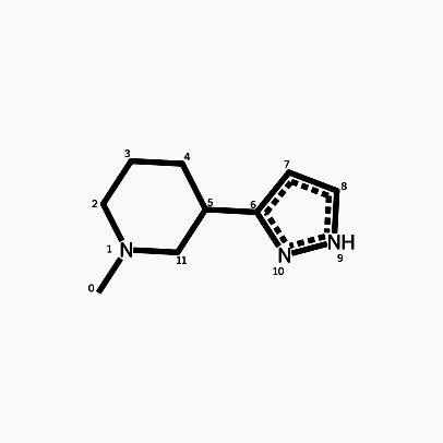 CN1CCCC(c2cc[nH]n2)C1